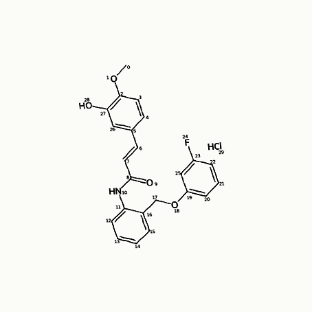 COc1ccc(C=CC(=O)Nc2ccccc2COc2cccc(F)c2)cc1O.Cl